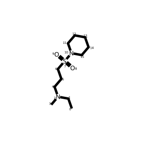 CCN(C)CCCS(=O)(=O)N1CC[CH]CC1